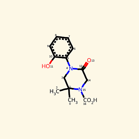 CC1(C)CN(c2ccccc2O)C(=O)CN1C(=O)O